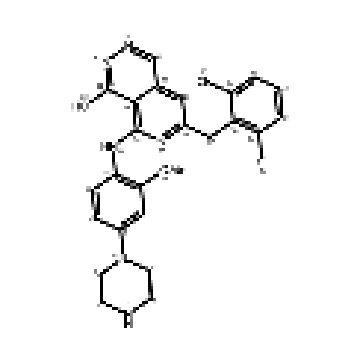 COc1cc(N2CCNCC2)ccc1Nc1nc(Cc2c(Cl)cccc2Cl)cc2cnnc(O)c12